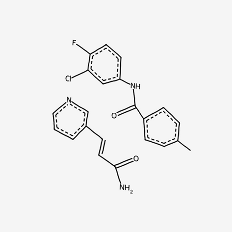 Cc1ccc(C(=O)Nc2ccc(F)c(Cl)c2)cc1.NC(=O)C=Cc1cccnc1